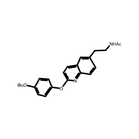 CC(=O)NCCc1ccc2nc(Oc3ccc(OCC(C)C)cc3)ccc2c1